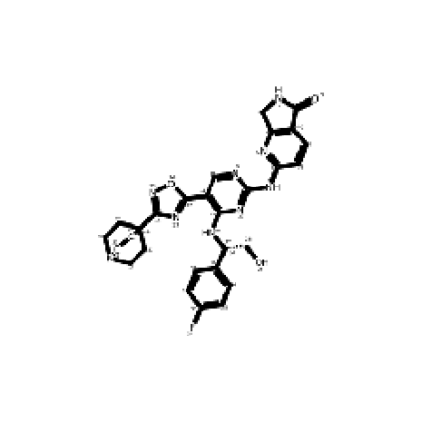 O=C1NCc2nc(Nc3ncc(-c4nc(C56CCN(CC5)CC6)no4)c(N[C@H](CO)c4ccc(F)cc4)n3)ccc21